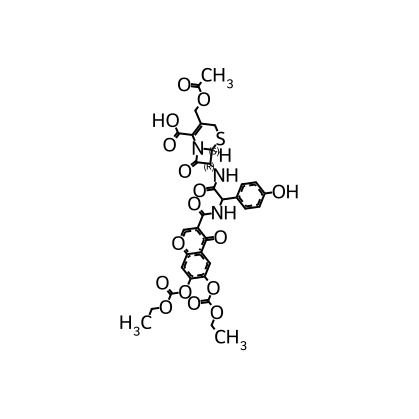 CCOC(=O)Oc1cc2occ(C(=O)NC(C(=O)N[C@@H]3C(=O)N4C(C(=O)O)=C(COC(C)=O)CS[C@@H]34)c3ccc(O)cc3)c(=O)c2cc1OC(=O)OCC